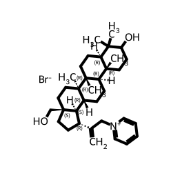 C=C(C[n+]1ccccc1)[C@@H]1CC[C@]2(CO)CC[C@]3(C)[C@H](CC[C@@H]4[C@@]5(C)CCC(O)C(C)(C)[C@@H]5CC[C@]43C)[C@@H]12.[Br-]